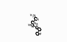 Nc1cncc(-c2ccc3[nH]nc(-c4cc5c(-c6ccccc6F)cccc5[nH]4)c3n2)c1